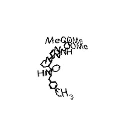 COc1cc(Nc2nccc(N3CCC[C@H](C(=O)NCCc4ccc(C)cc4)C3)n2)cc(OC)c1OC